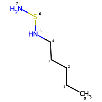 CCCCCNSN